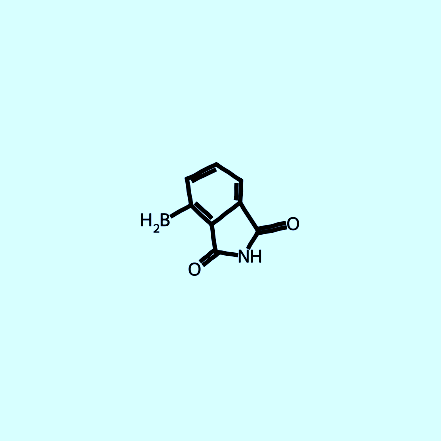 Bc1cccc2c1C(=O)NC2=O